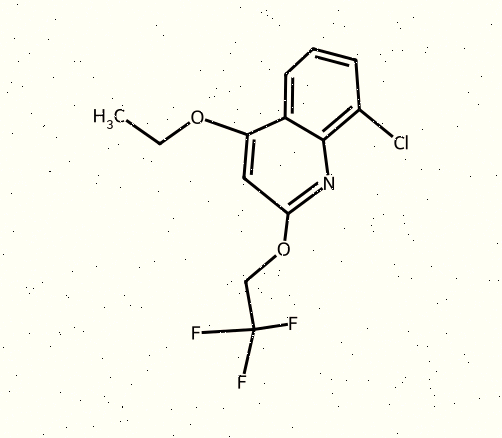 CCOc1cc(OCC(F)(F)F)nc2c(Cl)cccc12